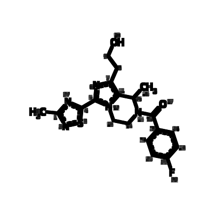 Cc1nsc(-c2nc(CCO)c3n2CCN(C(=O)c2ccc(F)cc2)C3C)n1